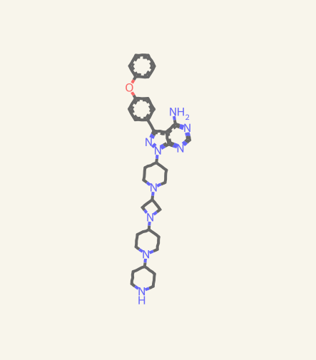 Nc1ncnc2c1c(-c1ccc(Oc3ccccc3)cc1)nn2C1CCN(C2CN(C3CCN(C4CCNCC4)CC3)C2)CC1